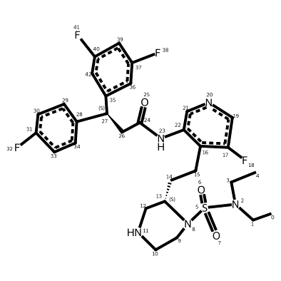 CCN(CC)S(=O)(=O)N1CCNC[C@@H]1CCc1c(F)cncc1NC(=O)C[C@@H](c1ccc(F)cc1)c1cc(F)cc(F)c1